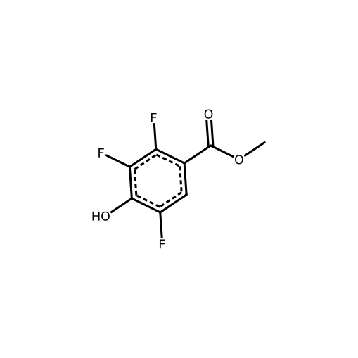 COC(=O)c1cc(F)c(O)c(F)c1F